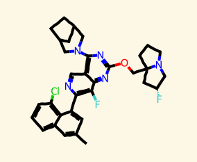 Cc1cc(-c2ncc3c(N4CC5CCC(C5)C4)nc(OCC45CCCN4C[C@H](F)C5)nc3c2F)c2c(Cl)cccc2c1